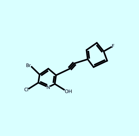 Oc1nc(Cl)c(Br)cc1C#Cc1ccc(F)cc1